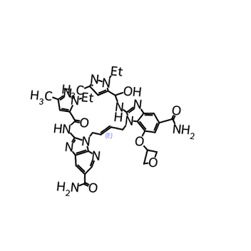 CCn1nc(C)cc1C(=O)Nc1nc2cc(C(N)=O)cnc2n1C/C=C/Cn1c(NC(O)c2cc(C)nn2CC)nc2cc(C(N)=O)cc(OC3COC3)c21